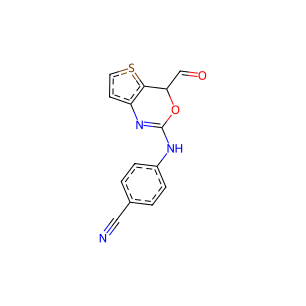 N#Cc1ccc(NC2=Nc3ccsc3C(C=O)O2)cc1